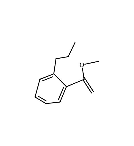 C=C(OC)c1ccccc1CCC